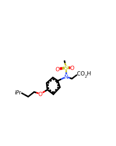 CC(C)CCOc1ccc(N(CC(=O)O)S(C)(=O)=O)cc1